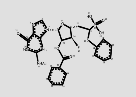 CC(=O)Nc1nc2c(ncn2[C@@H]2O[C@H](CC(Sc3ccccc3)P(=O)(O)O)[C@@H](F)[C@H]2OC(=O)c2ccccc2)c(=O)[nH]1